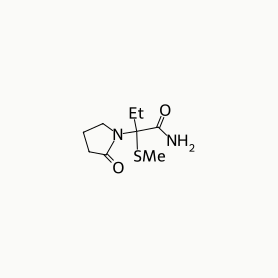 CCC(SC)(C(N)=O)N1CCCC1=O